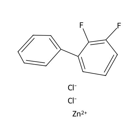 Fc1cccc(-c2ccccc2)c1F.[Cl-].[Cl-].[Zn+2]